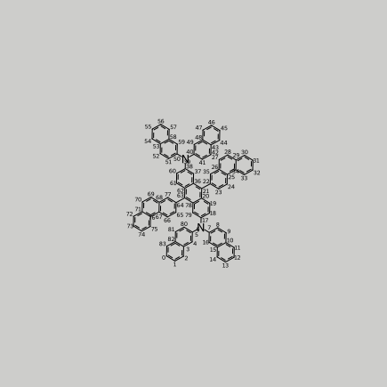 c1ccc2cc(N(c3ccc4ccccc4c3)c3ccc4c(-c5ccc6c(ccc7ccccc76)c5)c5cc(N(c6ccc7ccccc7c6)c6ccc7ccccc7c6)ccc5c(-c5ccc6c(ccc7ccccc76)c5)c4c3)ccc2c1